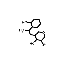 CC(C)C1COCC(CC(C)C2CCCCC2O)C1O